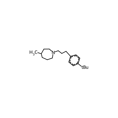 CC1CCCN(CCCc2ccc(C(C)(C)C)cc2)CC1